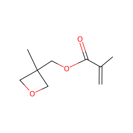 C=C(C)C(=O)OCC1(C)COC1